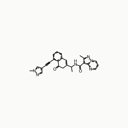 Cc1nn2cccnc2c1C(=O)NC(C)C1=Cc2cccc(C#Cc3cnn(C)c3)c2C(=O)C1